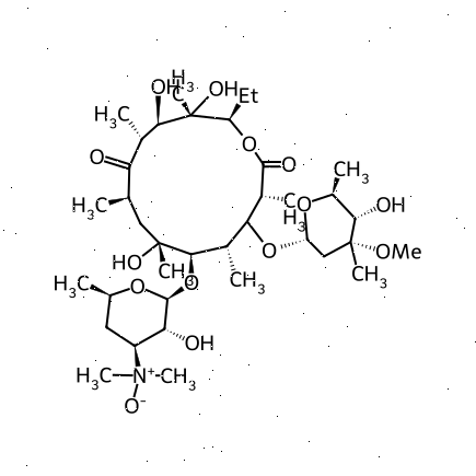 CC[C@H]1OC(=O)[C@H](C)C(O[C@H]2C[C@@](C)(OC)[C@@H](O)[C@H](C)O2)[C@H](C)[C@@H](O[C@@H]2O[C@H](C)C[C@H]([N+](C)(C)[O-])[C@H]2O)[C@](C)(O)C[C@@H](C)C(=O)[C@H](C)[C@@H](O)[C@]1(C)O